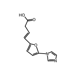 O=C(O)C/C=C/c1ccc(-n2ccnc2)o1